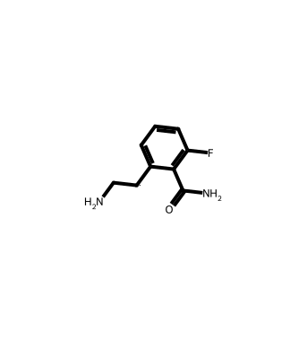 NC[CH]c1cccc(F)c1C(N)=O